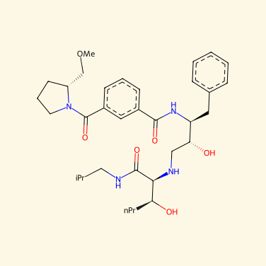 CCC[C@H](O)[C@H](NC[C@@H](O)[C@H](Cc1ccccc1)NC(=O)c1cccc(C(=O)N2CCC[C@@H]2COC)c1)C(=O)NCC(C)C